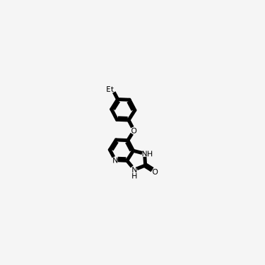 CCc1ccc(Oc2ccnc3[nH]c(=O)[nH]c23)cc1